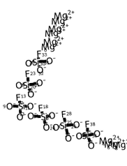 [Mg+2].[Mg+2].[Mg+2].[Mg+2].[Mg+2].[Mg+2].[Mg+2].[Mg+2].[Mg+2].[O-][Si]([O-])([O-])F.[O-][Si]([O-])([O-])F.[O-][Si]([O-])([O-])F.[O-][Si]([O-])([O-])F.[O-][Si]([O-])([O-])F.[O-][Si]([O-])([O-])F